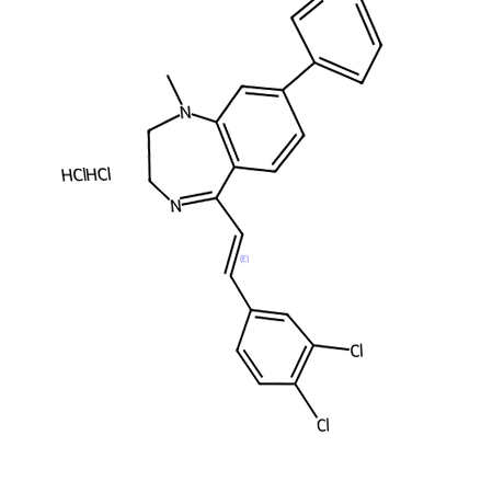 CN1CCN=C(/C=C/c2ccc(Cl)c(Cl)c2)c2ccc(-c3ccccc3)cc21.Cl.Cl